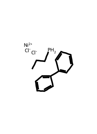 CCCP.[Cl-].[Cl-].[Ni+2].c1ccc(-c2ccccc2)cc1